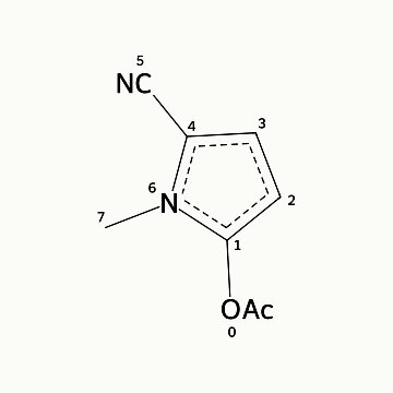 CC(=O)Oc1ccc(C#N)n1C